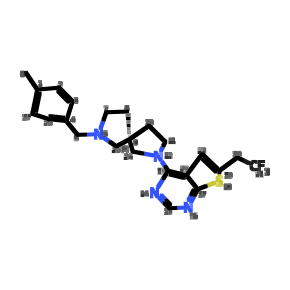 Cc1ccc(CN2CC[C@@]3(CCN(c4ncnc5sc(CC(F)(F)F)cc45)C3)C2)cc1